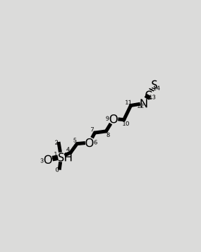 C[SH](C)(=O)CCOCCOCCN=C=S